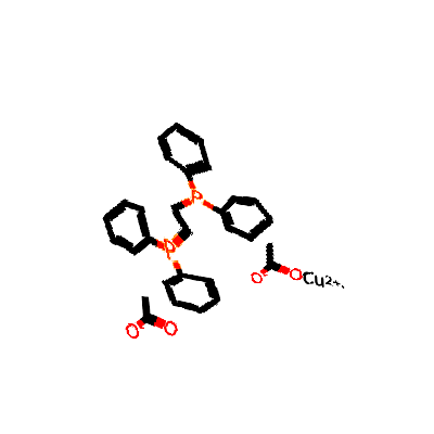 CC(=O)[O-].CC(=O)[O-].[Cu+2].c1ccc(P(CCP(c2ccccc2)c2ccccc2)c2ccccc2)cc1